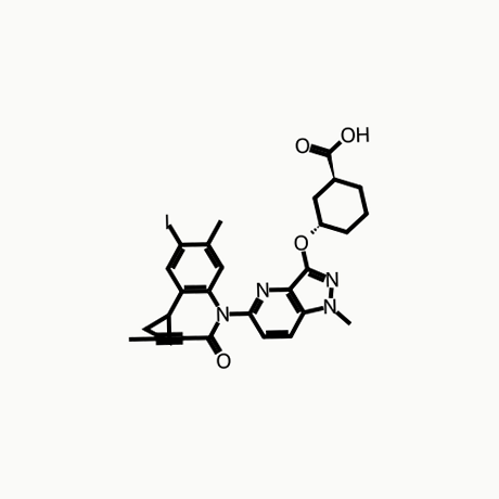 CC#CC(=O)N(c1ccc2c(n1)c(O[C@H]1CCC[C@H](C(=O)O)C1)nn2C)c1cc(C)c(I)cc1C1CC1